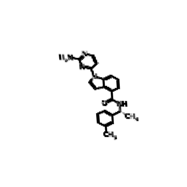 Cc1cccc([C@@H](C)NC(=O)c2cccc3c2ccn3-c2ccnc(N)n2)c1